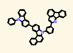 c1ccc(-n2c3ccccc3c3cc(-c4ccc5c(c4)c4c6ccccc6ccc4n5-c4cccc(-c5cc6cccc7c6c(n5)-c5ccccc5-7)c4)ccc32)cc1